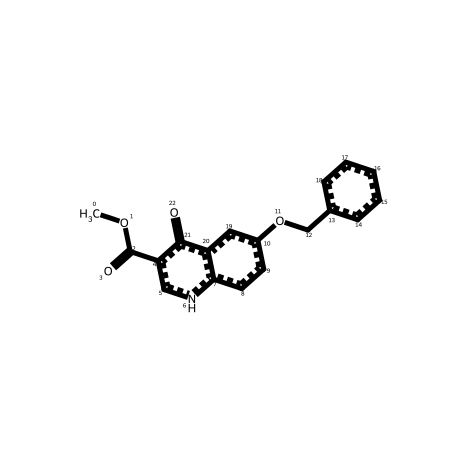 COC(=O)c1c[nH]c2ccc(OCc3ccccc3)cc2c1=O